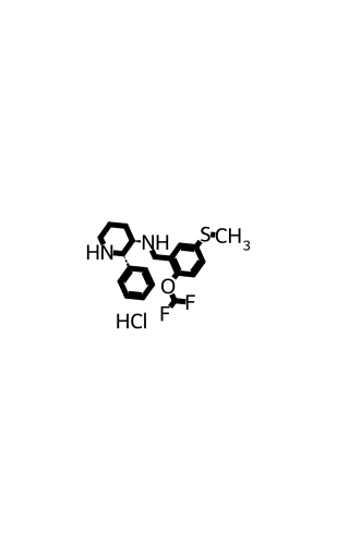 CSc1ccc(OC(F)F)c(CN[C@H]2CCCN[C@H]2c2ccccc2)c1.Cl